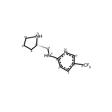 FC(F)(F)c1ccc(NC[C@@H]2CCCN2)nc1